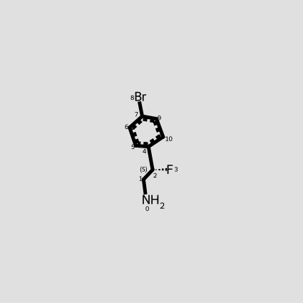 NC[C@@H](F)c1ccc(Br)cc1